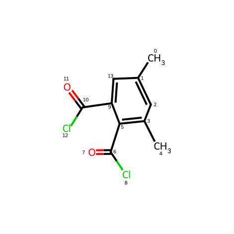 Cc1cc(C)c(C(=O)Cl)c(C(=O)Cl)c1